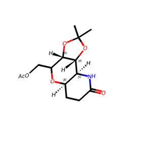 CC(=O)OCC1O[C@@H]2CCC(=O)N[C@@H]2[C@H]2OC(C)(C)O[C@@H]12